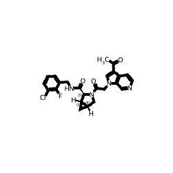 CC(=O)c1cn(CC(=O)N2C[C@@H]3C[C@@H]3[C@H]2C(=O)NCc2cccc(Cl)c2F)c2cnccc12